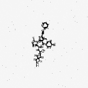 Cc1c(C#Cc2ccccn2)sc2c1C(c1ccc(Cl)cc1)=N[C@@H](CC(=O)N1CC3(CNC3)C1)c1nnc(C)n1-2